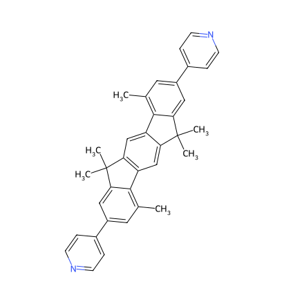 Cc1cc(-c2ccncc2)cc2c1-c1cc3c(cc1C2(C)C)-c1c(C)cc(-c2ccncc2)cc1C3(C)C